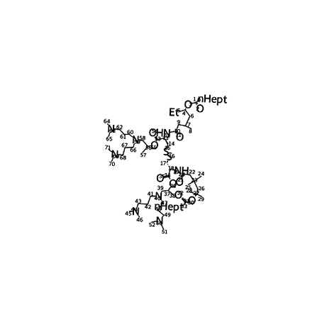 CCCCCCCC(=O)OC(CC)CC(C)CC(=O)N[C@@H](CSSC[C@H](NC(=O)CC(C)(C)CC(C)(C)OC(=O)CCCCCCC)C(=O)OC(C)CN(CCCN(C)C)CCCN(C)C)C(=O)OC(C)CN(CCCN(C)C)CCCN(C)C